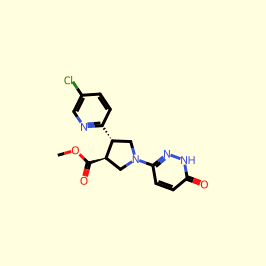 COC(=O)[C@@H]1CN(c2ccc(=O)[nH]n2)C[C@H]1c1ccc(Cl)cn1